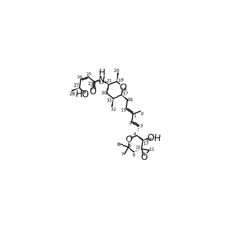 CC(/C=C/[C@H]1OC(C)(C)C[C@@]2(CO2)[C@@H]1O)=C\C[C@@H]1O[C@H](C)[C@H](NC(=O)/C=C\[C@H](C)O)C[C@@H]1C